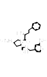 CC(=O)N[C@H]1C[C@@H](C(=O)NCc2ccnc(N)c2)N(C(=O)[C@H](N)CCc2ccccc2)C1